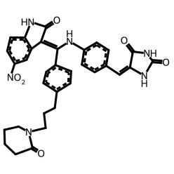 O=C1NC(=O)/C(=C\c2ccc(N/C(=C3\C(=O)Nc4ccc([N+](=O)[O-])cc43)c3ccc(CCCN4CCCCC4=O)cc3)cc2)N1